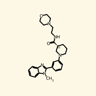 Cn1c(-c2cccc(N3CCC[C@H](C(=O)NCCN4CCOCC4)C3)c2)nc2ccccc21